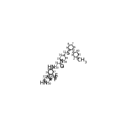 Cc1ccc(-c2ccccc2SCC2CCN(C(=O)CCNc3ccc(N4CCNCC4)c(C(F)(F)F)c3)CC2)cc1